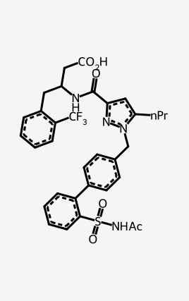 CCCc1cc(C(=O)NC(CC(=O)O)Cc2ccccc2C(F)(F)F)nn1Cc1ccc(-c2ccccc2S(=O)(=O)NC(C)=O)cc1